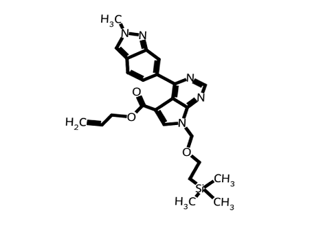 C=CCOC(=O)c1cn(COCC[Si](C)(C)C)c2ncnc(-c3ccc4cn(C)nc4c3)c12